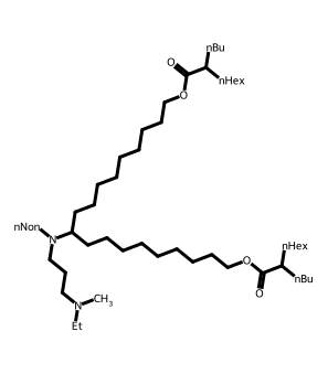 CCCCCCCCCN(CCCN(C)CC)C(CCCCCCCCCOC(=O)C(CCCC)CCCCCC)CCCCCCCCCOC(=O)C(CCCC)CCCCCC